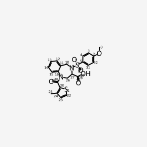 COc1ccc(S(=O)(=O)N2Cc3ccccc3N(C(=O)c3sccc3C)CC2C(=O)O)cc1